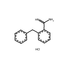 Cl.N=C(N)c1ccccc1Cc1ccccc1